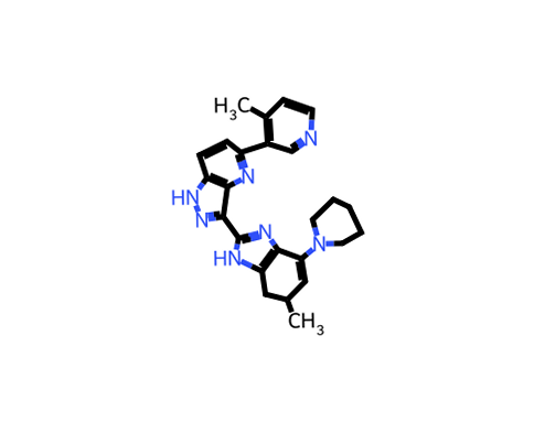 Cc1ccncc1-c1ccc2[nH]nc(-c3nc4c([nH]3)CC(C)C=C4N3CCCCC3)c2n1